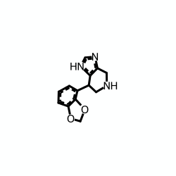 c1cc2c(c(C3CNCc4nc[nH]c43)c1)OCO2